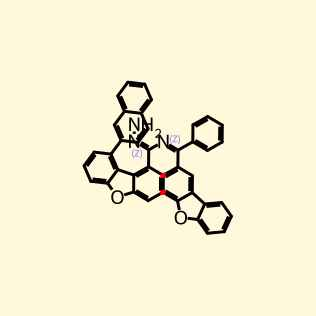 N/N=C(\N=C(\c1ccccc1)c1ccc2oc3ccccc3c2c1)c1cccc2oc3cccc(-c4ccc5ccccc5c4)c3c12